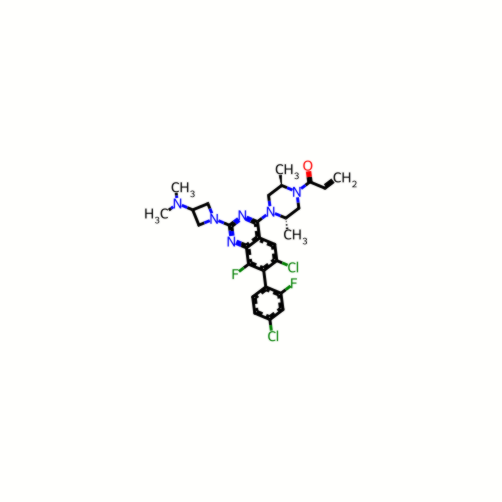 C=CC(=O)N1C[C@H](C)N(c2nc(N3CC(N(C)C)C3)nc3c(F)c(-c4ccc(Cl)cc4F)c(Cl)cc23)C[C@H]1C